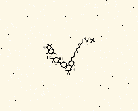 Cc1cc(C[C@@H](NC(=O)N2CCC3(CC2)OC(=O)Nc2ncc(/C=C/COCCOCCN(C)C(=O)OC(C)(C)C)cc23)C(=O)O)cc2cn[nH]c12